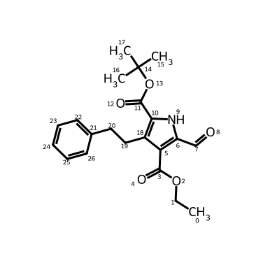 CCOC(=O)c1c(C=O)[nH]c(C(=O)OC(C)(C)C)c1CCc1ccccc1